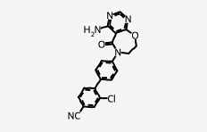 N#Cc1ccc(-c2ccc(N3CCOc4ncnc(N)c4C3=O)cc2)c(Cl)c1